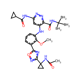 BC(B)(B)NC(=O)c1nnc(NC(=O)C2CC2)cc1Nc1cccc(-c2nc(C3(NC(C)=O)CC3)no2)c1OC